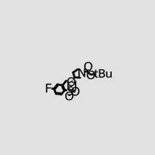 CC(C)(C)OC(=O)N1CC[C@@H](OCc2cc(F)ccc2S(=O)(=O)Cl)C1